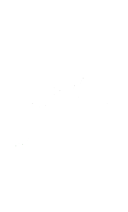 CCC1=Cc2c(cccc2-c2ccc(Cl)cc2)[CH]1